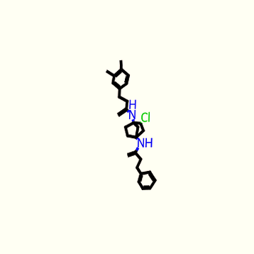 C=C(CCc1ccccc1)NC12CCC(NC(=C)CCc3ccc(C)c(C)c3)(C1)C(Cl)C2